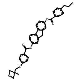 CCCc1ccc(C(=O)Oc2ccc3c(c2)Cc2cc(OC(=O)c4ccc(OCC5(C)COC5)cc4)ccc2-3)cc1